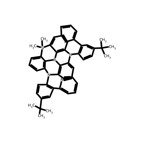 CC(C)(C)c1ccc(N2c3cccc4c3B3c5c2cccc5[Si](C)(C)c2cccc(c23)N4c2ccc(C(C)(C)C)cc2-c2ccccn2)c(-c2ccccn2)c1